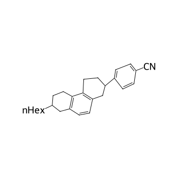 CCCCCCC1CCc2c(ccc3c2CCC(c2ccc(C#N)cc2)C3)C1